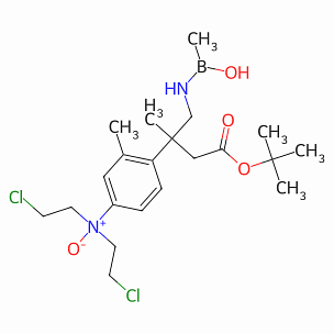 CB(O)NCC(C)(CC(=O)OC(C)(C)C)c1ccc([N+]([O-])(CCCl)CCCl)cc1C